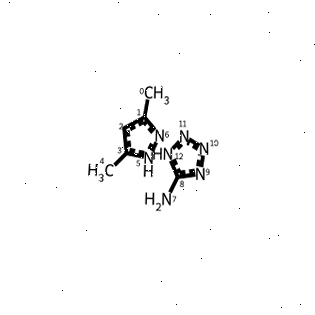 Cc1cc(C)[nH]n1.Nc1nnn[nH]1